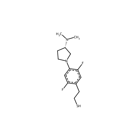 CN(C)[C@H]1CCN(c2cc(F)c(CCS)cc2F)C1